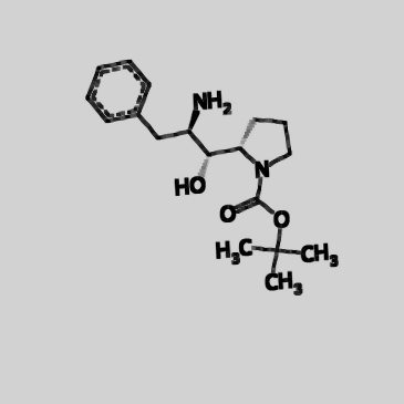 CC(C)(C)OC(=O)N1CCC[C@H]1[C@H](O)[C@H](N)Cc1ccccc1